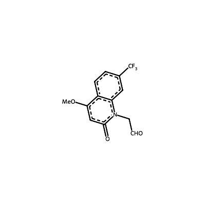 COc1cc(=O)n(CC=O)c2cc(C(F)(F)F)ccc12